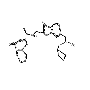 CC(=O)N(Cc1ccc2nc(CNC(=O)c3cc(=O)n4ccccc4n3)cn2c1)CC1CCC1